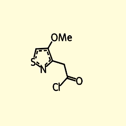 COc1csnc1CC(=O)Cl